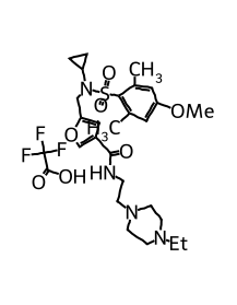 CCN1CCN(CCNC(=O)c2coc(CN(C3CC3)S(=O)(=O)c3c(C)cc(OC)cc3C)c2)CC1.O=C(O)C(F)(F)F